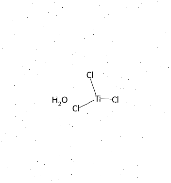 O.[Cl][Ti]([Cl])[Cl]